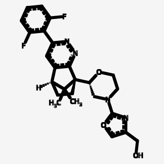 CC1(C)[C@H]2CC[C@]1([C@H]1CN(c3nc(CO)co3)CCO1)c1nnc(-c3c(F)cccc3F)cc12